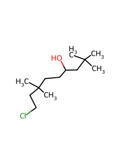 CC(C)(C)CC(O)CCC(C)(C)CCCl